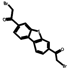 O=C(CBr)c1ccc2c(c1)sc1cc(C(=O)CBr)ccc12